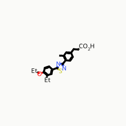 CCOc1ccc(-c2nc(-c3ccc(CCC(=O)O)cc3C)ns2)cc1CC